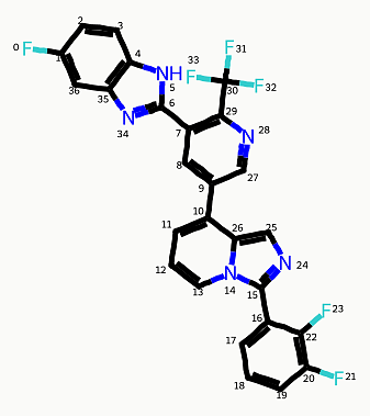 Fc1ccc2[nH]c(-c3cc(-c4cccn5c(-c6cccc(F)c6F)ncc45)cnc3C(F)(F)F)nc2c1